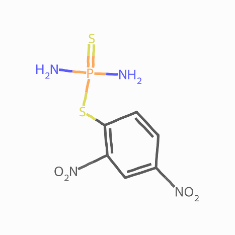 NP(N)(=S)Sc1ccc([N+](=O)[O-])cc1[N+](=O)[O-]